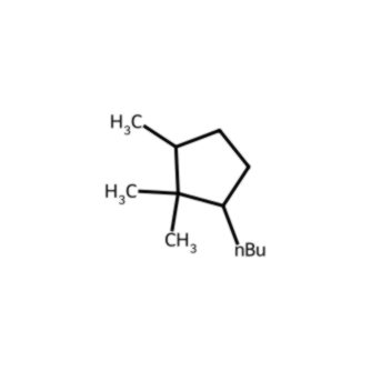 C[CH]CCC1CCC(C)C1(C)C